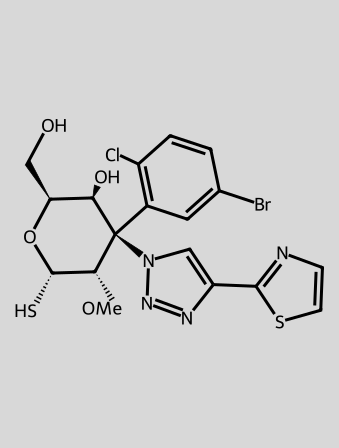 CO[C@@H]1[C@H](S)O[C@@H](CO)[C@@H](O)[C@@]1(c1cc(Br)ccc1Cl)n1cc(-c2nccs2)nn1